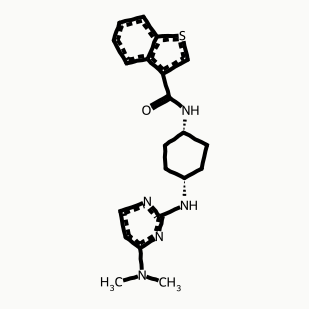 CN(C)c1ccnc(N[C@H]2CC[C@@H](NC(=O)c3csc4ccccc34)CC2)n1